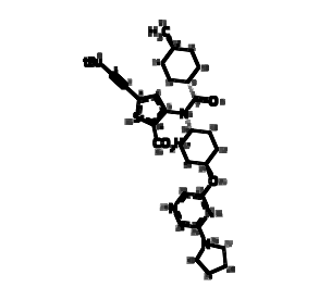 CC(C)(C)C#Cc1cc(N(C(=O)[C@H]2CC[C@H](C)CC2)[C@H]2CC[C@H](Oc3cncc(N4CCCC4)n3)CC2)c(C(=O)O)s1